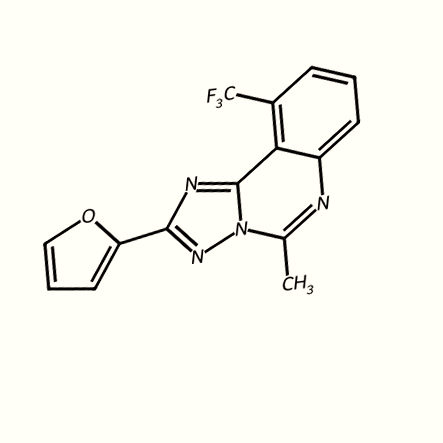 Cc1nc2cccc(C(F)(F)F)c2c2nc(-c3ccco3)nn12